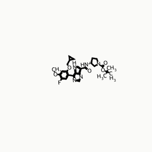 COc1cc(OCC2CC2)c(-c2ncnc3c(C(=O)N[C@@H]4CCN(C(=O)OC(C)(C)C)C4)c[nH]c23)cc1F